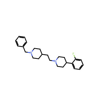 Fc1ccccc1C1CCN(CCC2CCN(Cc3ccccc3)CC2)CC1